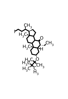 CC[C@H]1C(=O)C2C3CC[C@H]([C@H](C)CCI)[C@@]3(C)CCC2[C@@]2(C)CC[C@@H](OC(C)(C)C(C)(C)C)C[C@@H]12